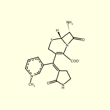 C[n+]1cccc(C(=C2CCNC2=O)C2=C(C(=O)[O-])N3C(=O)[C@@H](N)[C@H]3SC2)c1